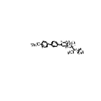 COc1ccc(-c2ccc(C3=NO[C@@H](C[C@](C)(C(O)NO)S(C)(=O)=O)C3)cc2)cn1